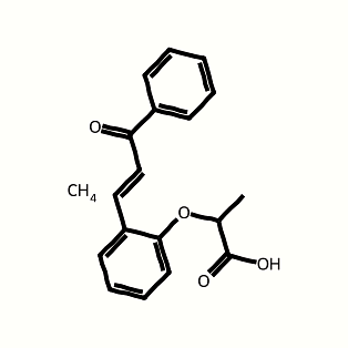 C.CC(Oc1ccccc1C=CC(=O)c1ccccc1)C(=O)O